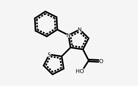 O=C(O)c1cnn(-c2ccccc2)c1-c1cccs1